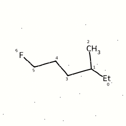 [CH2]CC(C)CCCF